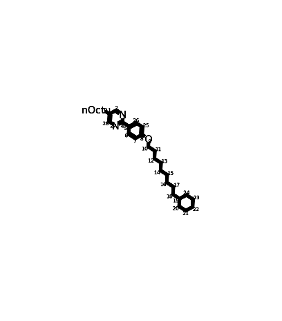 CCCCCCCCc1cnc(-c2ccc(OCCCCCCCCCC3CCCCC3)cc2)nc1